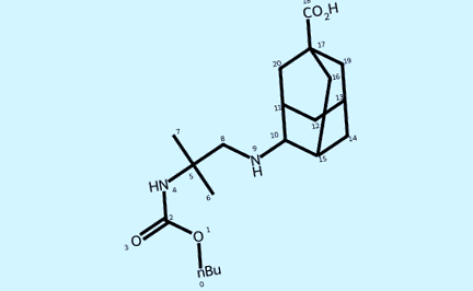 CCCCOC(=O)NC(C)(C)CNC1C2CC3CC1CC(C(=O)O)(C3)C2